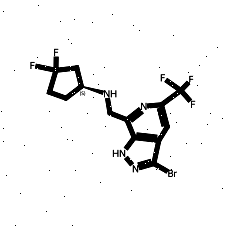 FC1(F)CC[C@H](NCc2nc(C(F)(F)F)cc3c(Br)n[nH]c23)C1